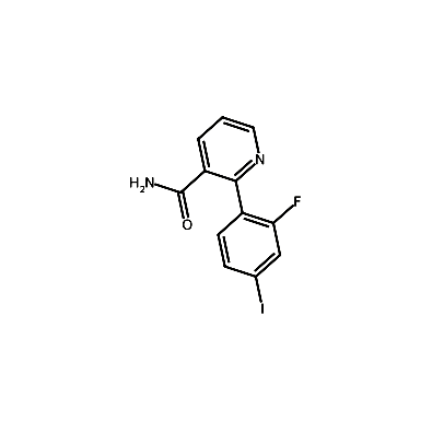 NC(=O)c1cccnc1-c1ccc(I)cc1F